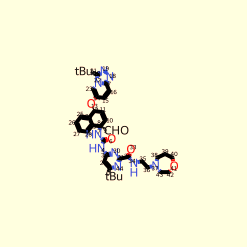 CC(C)(C)c1cc(NC(=O)N[C@@]2(C=O)C=C[C@@H](Oc3ccc4nnc(C(C)(C)C)n4c3)c3ccccc32)nc(C(=O)NCCN2CCCOCC2)n1